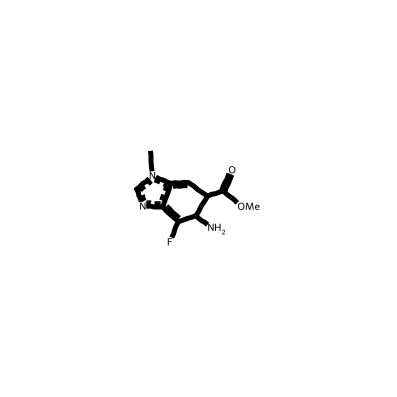 COC(=O)C1C=c2c(ncn2C)=C(F)C1N